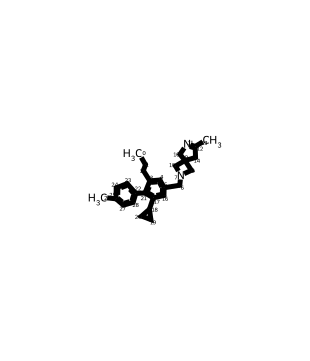 CCCc1cc(CN2CC3(CN=C(C)C3)C2)cc(C2CC2)c1-c1ccc(C)cc1